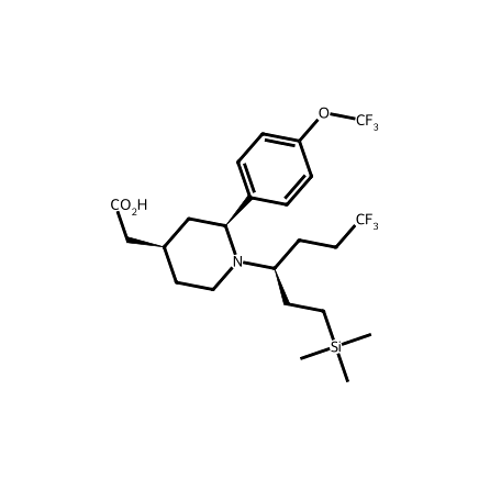 C[Si](C)(C)CC[C@H](CCC(F)(F)F)N1CC[C@@H](CC(=O)O)C[C@H]1c1ccc(OC(F)(F)F)cc1